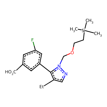 CCc1cnn(COCC[Si](C)(C)C)c1-c1cc(F)cc(C(=O)O)c1